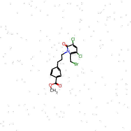 COC(=O)c1ccc(CCCn2c(CBr)c(Cl)cc(Cl)c2=O)cc1